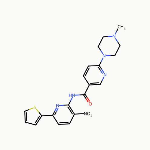 CN1CCN(c2ccc(C(=O)Nc3nc(-c4cccs4)ccc3[N+](=O)[O-])cn2)CC1